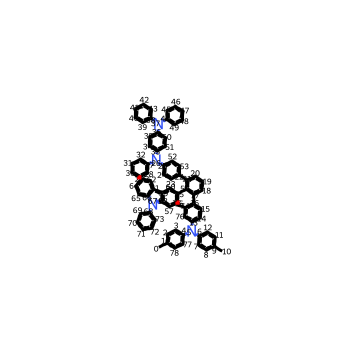 Cc1ccc(N(c2ccc(C)cc2)c2ccc(-c3cccc(-c4ccc(N(c5ccccc5)c5ccc(N(c6ccccc6)c6ccccc6)cc5)cc4)c3-c3ccc4c(c3)c3ccccc3n4-c3ccccc3)c(C)c2)cc1